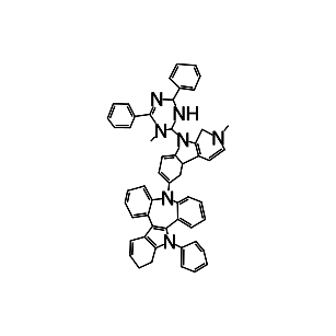 CN1C=CC2=C(C1)N(C1NC(c3ccccc3)N=C(c3ccccc3)N1C)C1=CC=C(N3c4ccccc4-c4c5c(n(-c6ccccc6)c4-c4ccccc43)CCC=C5)CC12